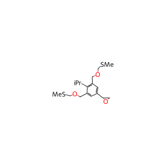 CSCOCc1cc(C2CO2)cc(COCSC)c1C(C)C